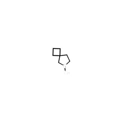 CN1CCC2(CCC2)C1